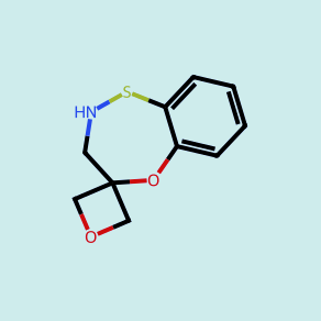 c1ccc2c(c1)OC1(CNS2)COC1